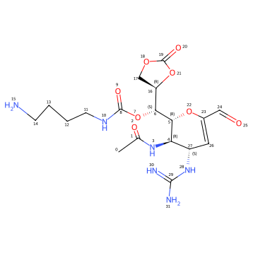 CC(=O)N[C@H]1[C@H]([C@H](OC(=O)NCCCCN)[C@H]2COC(=O)O2)OC(C=O)=C[C@@H]1NC(=N)N